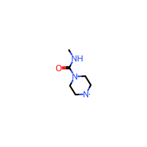 CNC(=O)N1CC[N]CC1